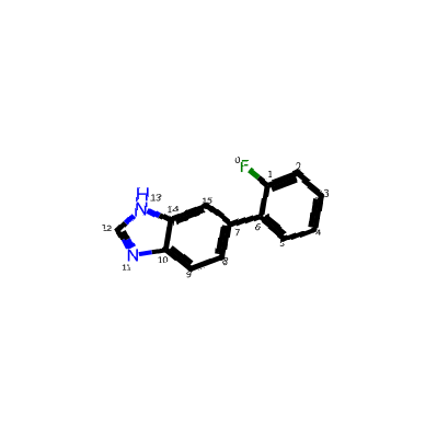 Fc1ccccc1-c1ccc2n[c][nH]c2c1